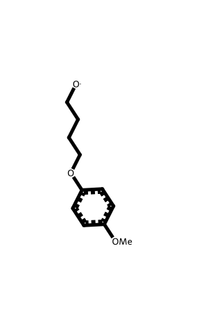 COc1ccc(OCCCC[O])cc1